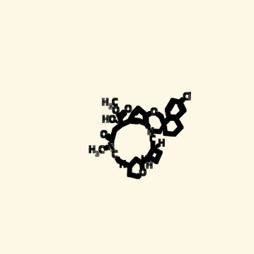 COC(=O)[C@]1(O)CC(=O)N(C)CC[C@H]2CCO[C@@H](C2)[C@@H]2CC[C@H]2CN2C[C@@]3(CCCc4cc(Cl)ccc43)COc3ccc1cc32